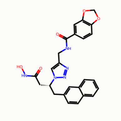 O=C(C[C@@H](Cc1ccc2ccccc2c1)n1cc(CNC(=O)c2ccc3c(c2)OCO3)nn1)NO